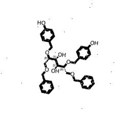 Oc1ccc(CO[C@H](COCc2ccccc2)[C@@H](O)[C@H](O)[C@@H](COCc2ccccc2)OCc2ccc(O)cc2)cc1